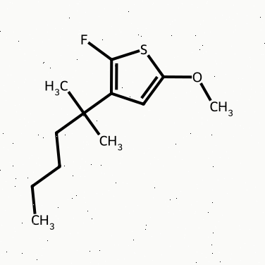 CCCCC(C)(C)c1cc(OC)sc1F